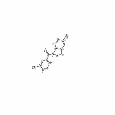 O=C(c1cc(Cl)ncn1)N1CCc2cc(Br)ccc21